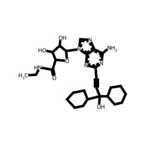 CCNC(=O)C1OC(n2cnc3c(N)nc(C#CC(O)(C4CCCCC4)C4CCCCC4)nc32)C(O)C1O